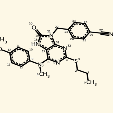 CCCSc1nc(N(C)c2ccc(OC)cc2)c2[nH]c(=O)n(Cc3ccc(C#N)cc3)c2n1